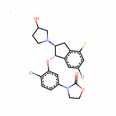 O=C1OCCN1c1ccc(Cl)c(O[C@H]2c3cc(Cl)cc(F)c3C[C@@H]2N2CCC(O)C2)c1